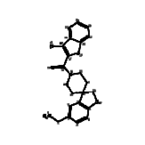 NCc1ccc2c(c1)C1(CCN(C(=O)c3sc4ccccc4c3Cl)CC1)CO2